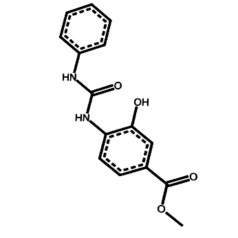 COC(=O)c1ccc(NC(=O)Nc2ccccc2)c(O)c1